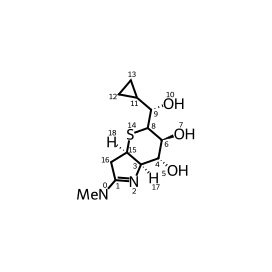 CNC1=N[C@@H]2[C@@H](O)[C@H](O)C([C@@H](O)C3CC3)S[C@@H]2C1